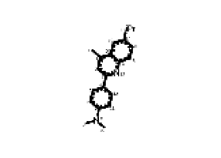 Cc1cc(-c2ccc(N(C)C)cc2)nc2ccc(C(C)C)cc12